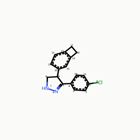 Clc1ccc(C2=NNCC2c2ccc3c(c2)CC3)cc1